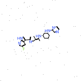 C=C(/N=C\C(C)=C(/C)N[C@H]1CCC[C@@H](Nc2cnccn2)C1)c1c[nH]c2ncc(F)cc12